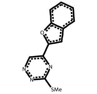 CSc1nncc(-c2cc3ccccc3o2)n1